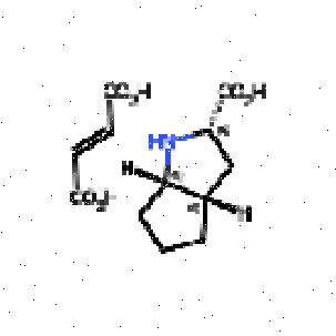 O=C(O)C=CC(=O)O.O=C(O)[C@@H]1C[C@@H]2CCC[C@@H]2N1